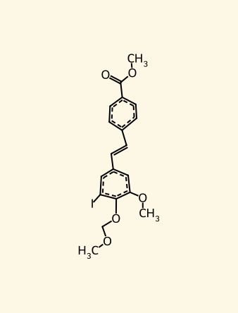 COCOc1c(I)cc(C=Cc2ccc(C(=O)OC)cc2)cc1OC